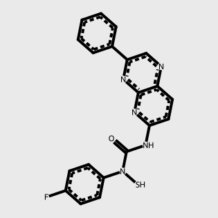 O=C(Nc1ccc2ncc(-c3ccccc3)nc2n1)N(S)c1ccc(F)cc1